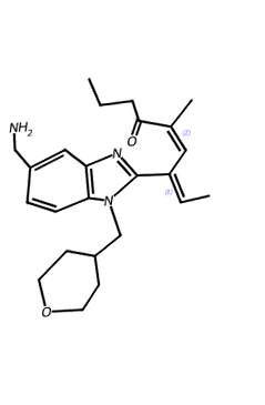 C/C=C(\C=C(\C)C(=O)CCC)c1nc2cc(CN)ccc2n1CC1CCOCC1